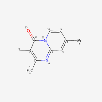 Cc1c(C(F)(F)F)nc2cc(C(C)C)ccn2c1=O